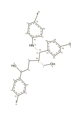 OC[C@H](CCC(O)c1ccc(F)cc1)[C@H](Nc1ccc(F)cc1)c1ccc(O)cc1